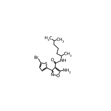 CC(C)CCCC(C)NC(=O)c1c(-c2ccc(Br)s2)noc1N